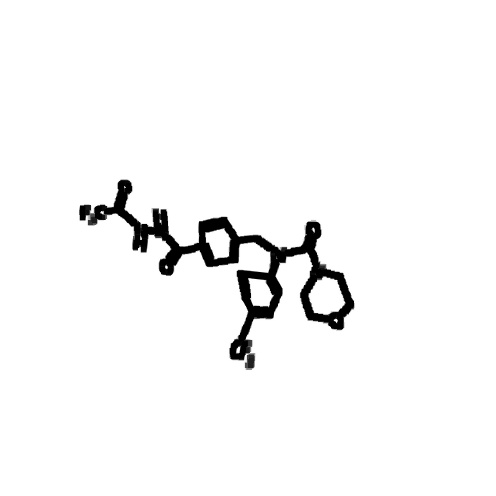 O=C(NNC(=O)C(F)(F)F)c1ccc(CN(C(=O)N2CCOCC2)c2ccc(C(F)(F)F)cc2)cc1